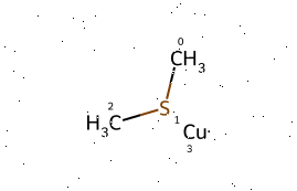 CSC.[Cu]